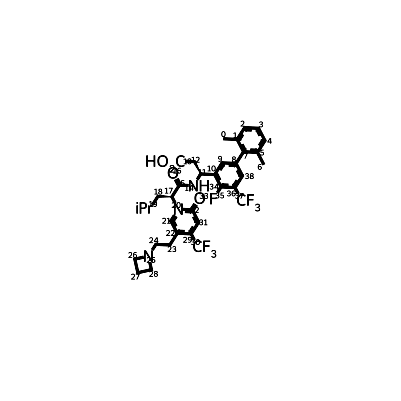 Cc1cccc(C)c1-c1cc([C@H](CC(=O)O)NC(=O)[C@H](CC(C)C)n2cc(CCN3CCC3)c(C(F)(F)F)cc2=O)c(F)c(C(F)(F)F)c1